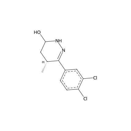 C[C@@H]1CC(O)NN=C1c1ccc(Cl)c(Cl)c1